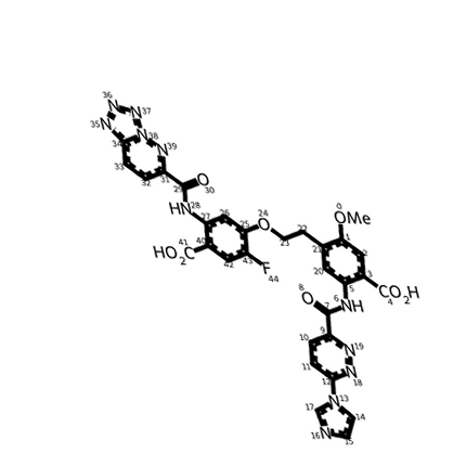 COc1cc(C(=O)O)c(NC(=O)c2ccc(-n3ccnc3)nn2)cc1CCOc1cc(NC(=O)c2ccc3nnnn3n2)c(C(=O)O)cc1F